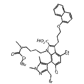 CCc1cc(Cl)c(-c2c(CBr)nn(C)c2C)c2c1c(CCCOc1cccc3ccccc13)c(C(=O)O)n2CCCCN(C)C(=O)OC(C)(C)C